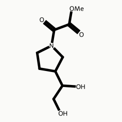 COC(=O)C(=O)N1CCC(C(O)CO)C1